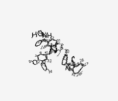 COc1ccc(NCC(=Cc2ccc(C(=O)NO)cc2)COc2nc3ccccc3s2)cc1OC